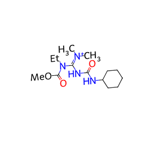 CCN(C(=O)OC)C(NC(=O)NC1CCCCC1)=[N+](C)C